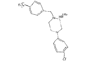 Br.Br.Cc1ccc(CN2CCN(c3ccc(Cl)cc3)CC2)cc1